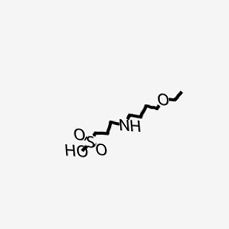 CCOCCCCNCCCS(=O)(=O)O